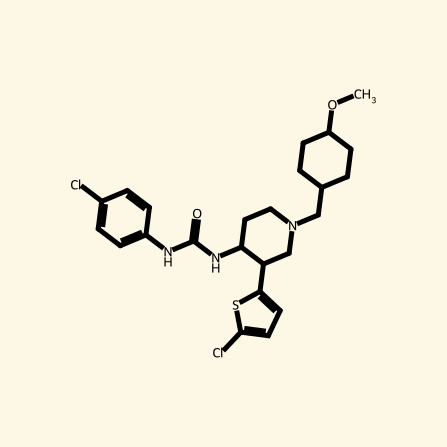 COC1CCC(CN2CCC(NC(=O)Nc3ccc(Cl)cc3)C(c3ccc(Cl)s3)C2)CC1